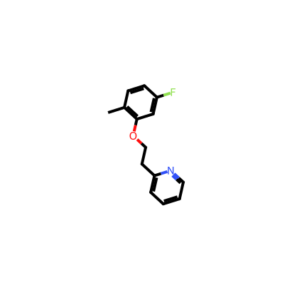 Cc1ccc(F)cc1OCCc1ccccn1